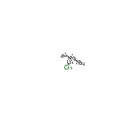 CC[CH](C)[Mg][CH](C)CC.[Cl-].[Li+]